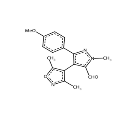 COc1ccc(-c2nn(C)c(C=O)c2-c2c(C)noc2C)cc1